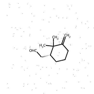 C=C1CCC[C@H](CC=O)C1(C)C